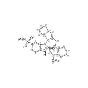 CNS(=O)(=O)c1ccc2c(c1)C(C1C(Cc3ccc(OC)c4ccccc34)=Cc3ccccc31)C(=O)N2